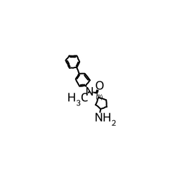 CN(C(=O)[C@@H]1CCC(N)C1)c1ccc(-c2ccccc2)cc1